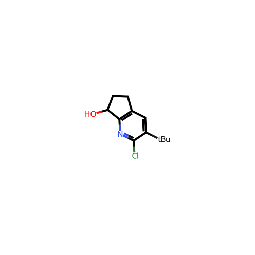 CC(C)(C)c1cc2c(nc1Cl)C(O)CC2